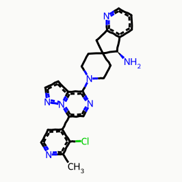 Cc1nccc(-c2cnc(N3CCC4(CC3)Cc3ncccc3[C@H]4N)c3ccnn23)c1Cl